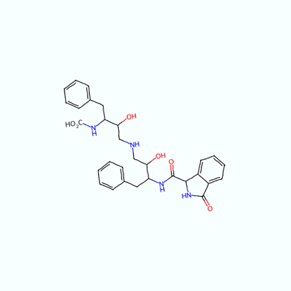 O=C(O)NC(Cc1ccccc1)C(O)CNCC(O)C(Cc1ccccc1)NC(=O)C1NC(=O)c2ccccc21